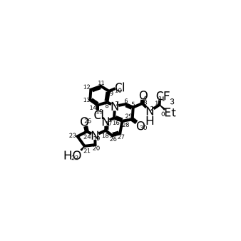 CC[C@@H](NC(=O)c1cn(-c2c(Cl)cccc2Cl)c2nc(N3C[C@@H](O)CC3=O)ccc2c1=O)C(F)(F)F